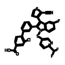 N#Cc1sccc1-c1c(-c2cccc(-c3ccc(C(=O)O)cc3Cl)c2)n(Sc2ccc(C(F)F)nc2)c2ccc(F)cc12